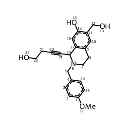 COc1ccc(CN2CCc3cc(CO)c(O)cc3C2C#CCCO)cc1